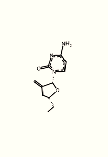 C=C1C[C@@H](CC)O[C@H]1n1ccc(N)nc1=O